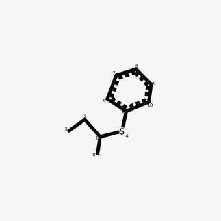 [CH2]C(CC)Sc1ccccc1